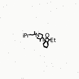 CCC1C(=O)N(C2CCN(C(C)CCC(C)C)CC2C)c2ccccc21